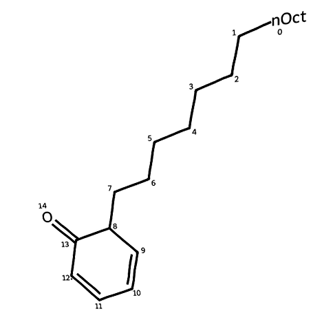 CCCCCCCCCCCCCCCC1C=CC=[C]C1=O